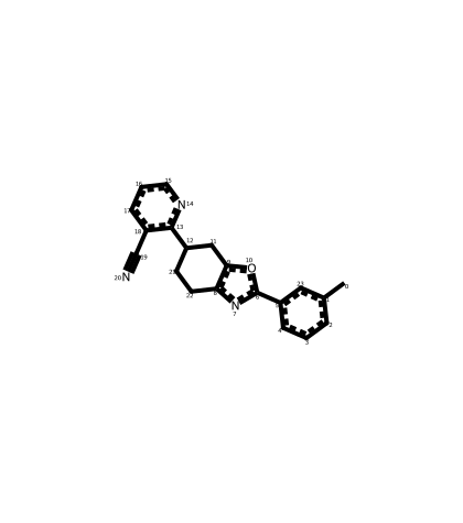 Cc1cccc(-c2nc3c(o2)CC(c2ncccc2C#N)CC3)c1